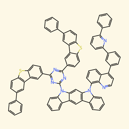 c1ccc(-c2ccc3sc4ccc(-c5nc(-c6ccc7sc8ccc(-c9ccccc9)cc8c7c6)nc(-n6c7ccccc7c7cc8c9ccccc9n(-c9cccc%10c(-c%11cccc(-c%12cccc(-c%13ccccc%13)n%12)c%11)ccnc9%10)c8cc76)n5)cc4c3c2)cc1